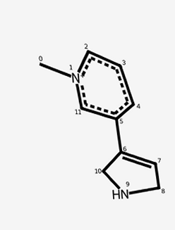 C[n+]1cccc(C2=CCNC2)c1